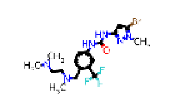 CN(C)CCN(C)Cc1ccc(NC(=O)Nc2cc(Br)n(C)n2)cc1C(F)(F)F